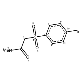 CNC(=O)CS(=O)(=O)c1ccc(C)cc1